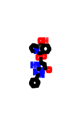 O=C(N1CCC[C@@H]1CO)C1(OCc2cc(=O)n3nc(-c4ccccc4)nc3[nH]2)CCCCC1